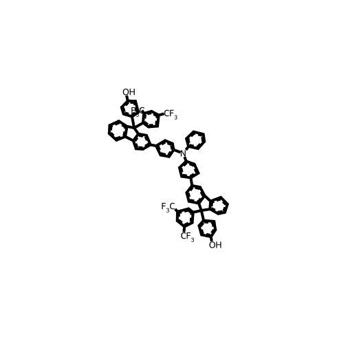 Oc1ccc(C2(c3cc(C(F)(F)F)cc(C(F)(F)F)c3)c3ccccc3-c3cc(-c4ccc(N(c5ccccc5)c5ccc(-c6ccc7c(c6)C(c6ccc(O)cc6)(c6ccc(C(F)(F)F)cc6C(F)(F)F)c6ccccc6-7)cc5)cc4)ccc32)cc1